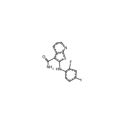 NC(=O)c1c(Nc2ccc(I)cc2F)sc2ncccc12